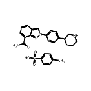 Cc1ccc(S(=O)(=O)O)cc1.NC(=O)c1cccc2cn(-c3ccc(C4CCCNC4)cc3)nc12